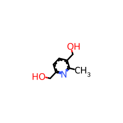 Cc1nc(CO)ccc1CO